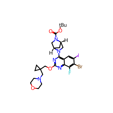 CC(C)(C)OC(=O)N1C[C@@H]2C[C@H]1CN2c1nc(OCC2(CN3CCOCC3)CC2)nc2c(F)c(Br)c(I)cc12